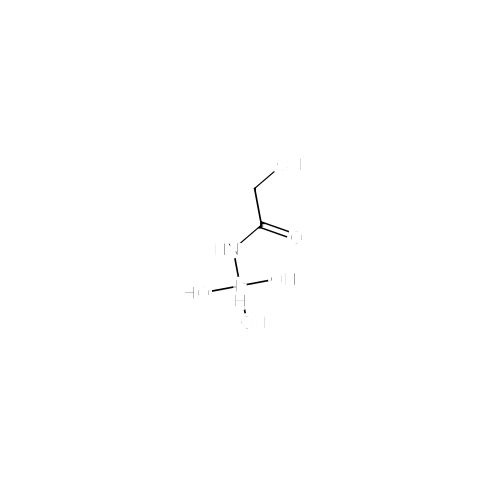 O=C(CO)N[PH](O)(O)O